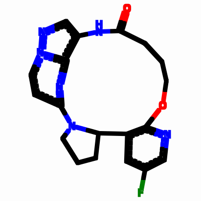 O=C1CCCOc2ncc(F)cc2C2CCCN2c2ccn3ncc(c3n2)N1